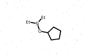 CC[Si](CC)OC1CCCC1